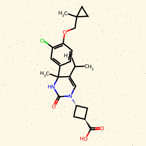 CC(C)C1=CN([C@H]2C[C@H](C(=O)O)C2)C(=O)NC1(C)c1ccc(OCC2(C)CC2)c(Cl)c1